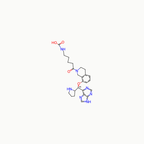 O=C(O)NCCCCCC(=O)N1CCc2cccc(O[C@@H](c3ncnc4[nH]cnc34)C3CCCN3)c2C1